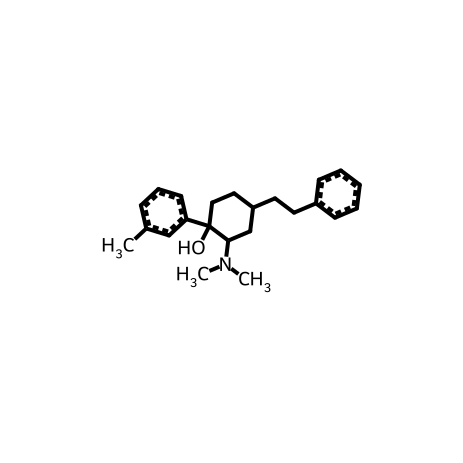 Cc1cccc(C2(O)CCC(CCc3ccccc3)CC2N(C)C)c1